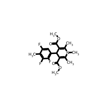 COC(=O)C1=C(C)N(C)C(C)=C(C(=O)OC)C1c1cc(F)c(C)c(F)c1F